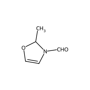 CC1OC=CN1C=O